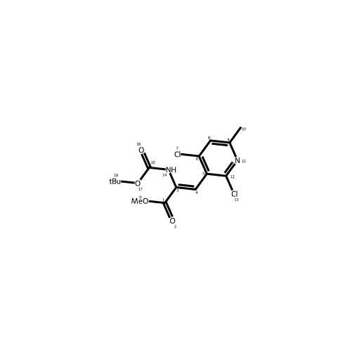 COC(=O)C(=Cc1c(Cl)cc(C)nc1Cl)NC(=O)OC(C)(C)C